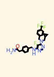 NC(=O)Cc1ccc(CNc2ncnc(N(Cc3ccc(C(F)(F)F)cc3)CC3CC3)c2F)cc1